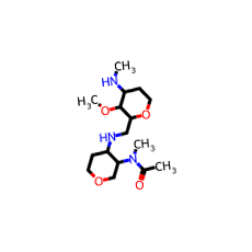 CNC1CCOC(CNC2CCOCC2N(C)C(C)=O)C1OC